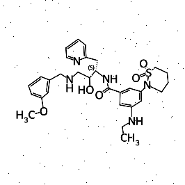 CCNc1cc(C(=O)N[C@@H](Cc2ccccn2)C(O)CNCc2cccc(OC)c2)cc(N2CCCCS2(=O)=O)c1